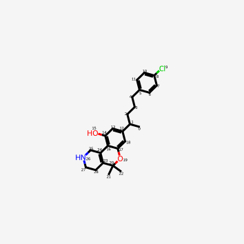 CC(CCCc1ccc(Cl)cc1)c1cc(O)c2c(c1)OC(C)(C)C1=C2CNCC1